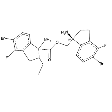 CCC1Cc2c(ccc(Br)c2F)C1(N)C(=O)OC[C@]1(N)CCc2c1ccc(Br)c2F